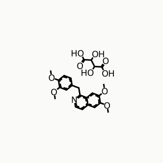 COc1ccc(Cc2nccc3cc(OC)c(OC)cc23)cc1OC.O=C(O)C(O)C(O)C(=O)O